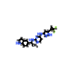 CC(Nc1nccc(Nc2cc(C3CC3(F)F)[nH]n2)n1)c1ccc2[nH]ccc2c1